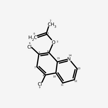 C=C(C)Oc1c(Cl)cc(Cl)c2cccnc12